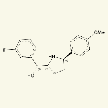 COc1ccc([C@H]2CC[C@H]([C@H](O)c3cccc(F)c3)N2)cc1